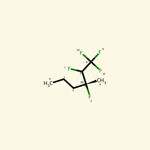 CCC[C@@](C)(F)C(F)C(F)(F)F